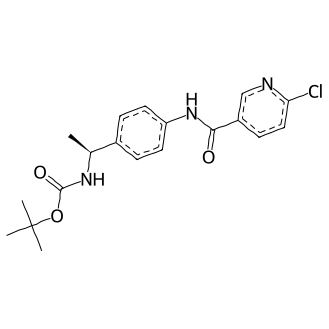 C[C@H](NC(=O)OC(C)(C)C)c1ccc(NC(=O)c2ccc(Cl)nc2)cc1